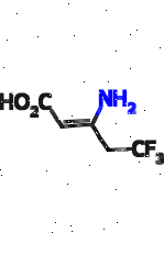 N/C(=C\C(=O)O)CC(F)(F)F